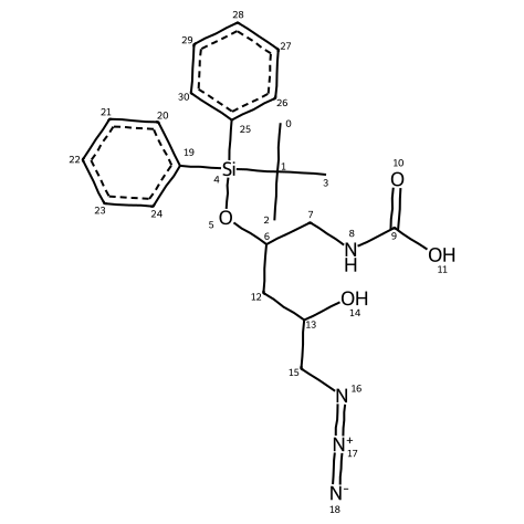 CC(C)(C)[Si](OC(CNC(=O)O)CC(O)CN=[N+]=[N-])(c1ccccc1)c1ccccc1